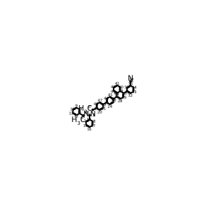 C=C(/N=C(\N=C(/C)c1ccccc1)c1ccccc1)c1ccc(-c2ccc(-c3ccc(-c4cccc(C#N)c4)c4ccccc34)cc2)cc1